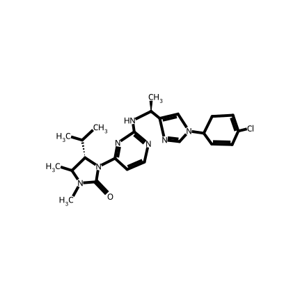 CC(C)[C@H]1C(C)N(C)C(=O)N1c1ccnc(N[C@@H](C)c2cn(C3C=CC(Cl)=CC3)cn2)n1